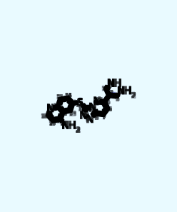 N=C/C(=C\N)c1ccc2nnc(Sc3ccc4nccc(N)c4c3)n2n1